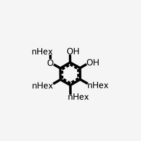 CCCCCCOc1c(O)c(O)c(CCCCCC)c(CCCCCC)c1CCCCCC